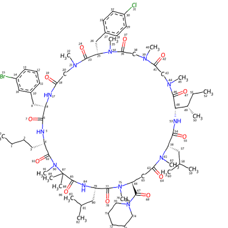 CCCC[C@@H]1NC(=O)[C@H](Cc2cccc(Br)c2)NC(=O)CN(C)C(=O)[C@H](Cc2ccc(Cl)cc2)N(C)C(=O)CN(C)C(=O)CN(C)C(=O)[C@H]([C@@H](C)CC)NC(=O)[C@H](CC(C)C)N(C)C(=O)C[C@@H](C(=O)N2CCCCC2)N(C)C(=O)[C@H](CC(C)C)NC(=O)C(C)(C)N(C)C1=O